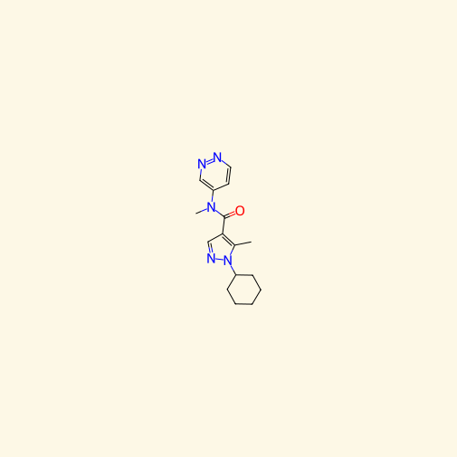 Cc1c(C(=O)N(C)c2ccnnc2)cnn1C1CCCCC1